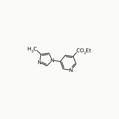 CCOC(=O)c1cncc(-n2cnc(C)c2)c1